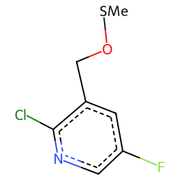 CSOCc1cc(F)cnc1Cl